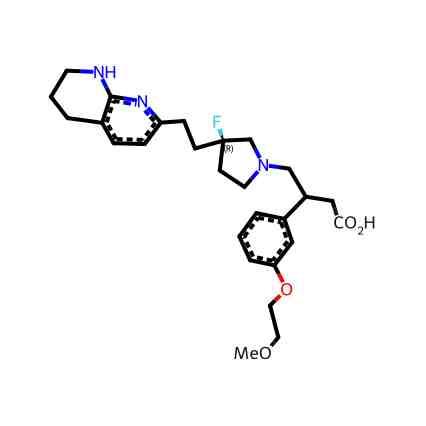 COCCOc1cccc(C(CC(=O)O)CN2CC[C@](F)(CCc3ccc4c(n3)NCCC4)C2)c1